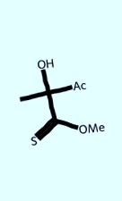 COC(=S)C(C)(O)C(C)=O